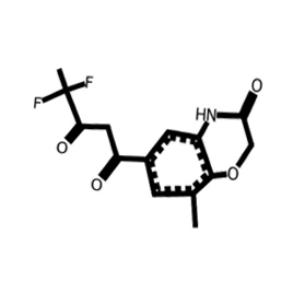 Cc1cc(C(=O)CC(=O)C(C)(F)F)cc2c1OCC(=O)N2